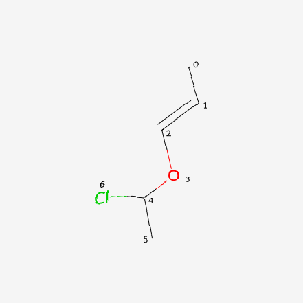 CC=COC(C)Cl